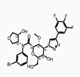 CO[C@@H]1[C@@H](n2cc(-c3cc(F)c(F)c(F)c3)nn2)[C@@H](O)[C@@H](CO)O[C@H]1C(=O)N(c1cccc(Br)c1)[C@@H]1COC[C@H]1O